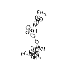 CCCS(=O)(=O)N1CCN(Cc2ccccc2NC(=O)c2ccc(-c3ccc(-c4c[nH]c(C5CCCN5C(=O)[C@H](C(C)C)N(C)C(=O)O)n4)cc3)cc2)CC1